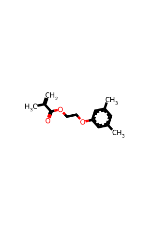 C=C(C)C(=O)OCCOc1cc(C)cc(C)c1